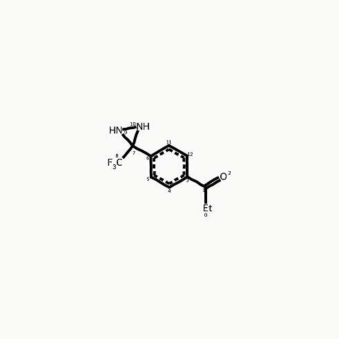 CCC(=O)c1ccc(C2(C(F)(F)F)NN2)cc1